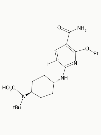 CCOc1nc(N[C@H]2CC[C@H](N(C(=O)O)C(C)(C)C)CC2)c(I)cc1C(N)=O